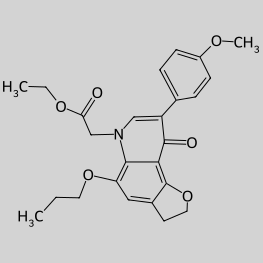 CCCOc1cc2c(c3c(=O)c(-c4ccc(OC)cc4)cn(CC(=O)OCC)c13)OCC2